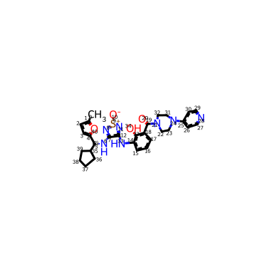 Cc1ccc([C@H](Nc2n[s+]([O-])nc2Nc2cccc(C(=O)N3CCN(c4ccncc4)CC3)c2O)C2CCCC2)o1